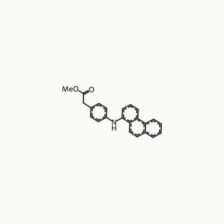 COC(=O)Cc1ccc(Nc2cccc3c2ccc2ccccc23)cc1